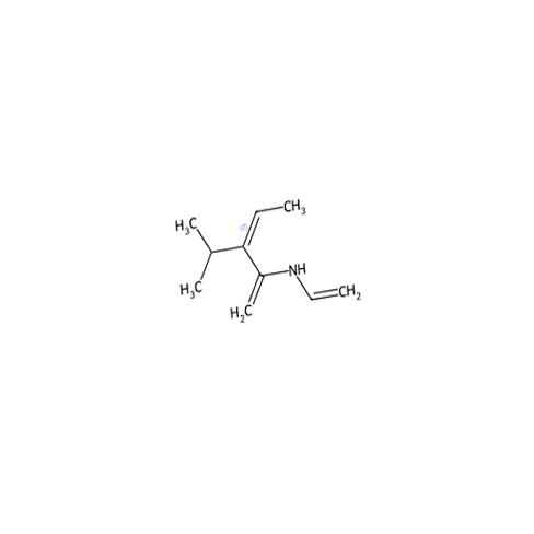 C=CNC(=C)/C(=C\C)C(C)C